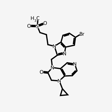 CS(=O)(=O)CCCn1c(CN2C(=O)CN(C3CC3)c3ccncc32)nc2cc(Br)ccc21